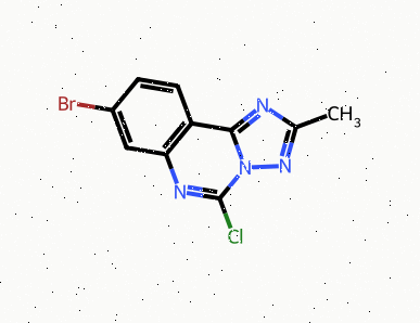 Cc1nc2c3ccc(Br)cc3nc(Cl)n2n1